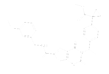 COC(=O)C1(c2ccc(C(C)n3c(=O)[nH]c4sc(C(=O)NCc5cccc(OC)c5)cc4c3=O)cc2)CC1